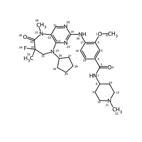 COc1cc(C(=O)NC2CCN(C)CC2)ccc1Nc1ncc2c(n1)N(C1CCCC1)CC(C)(F)C(=O)N2C